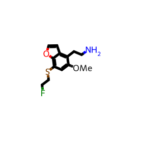 COc1cc(SCCF)c2occc2c1CCN